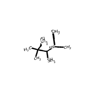 C[SiH](C)C([SiH3])C(C)(C)C